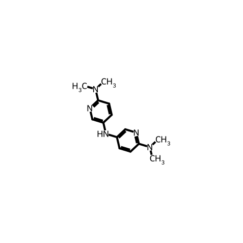 CN(C)c1ccc(Nc2ccc(N(C)C)nc2)cn1